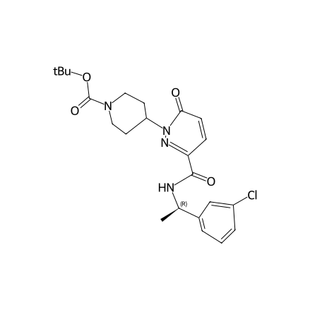 C[C@@H](NC(=O)c1ccc(=O)n(C2CCN(C(=O)OC(C)(C)C)CC2)n1)c1cccc(Cl)c1